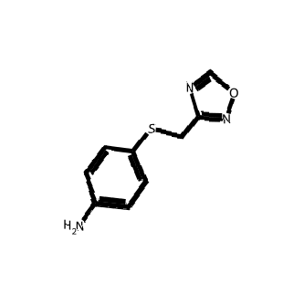 Nc1ccc(SCc2ncon2)cc1